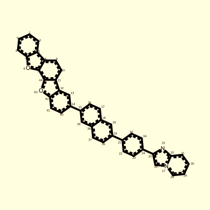 c1ccc2c(c1)oc1c2ccc2c3cc(-c4ccc5cc(-c6ccc(-c7cn8ccccc8n7)cc6)ccc5c4)ccc3oc21